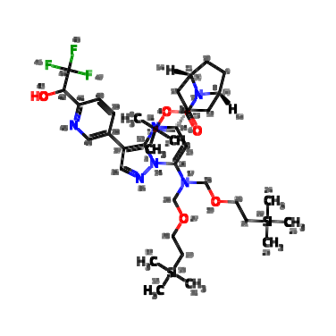 CC(C)(C)OC(=O)N1[C@@H]2CC[C@H]1C[C@@H](c1cc(N(COCC[Si](C)(C)C)COCC[Si](C)(C)C)n3ncc(-c4ccc(C(O)C(F)(F)F)nc4)c3n1)C2